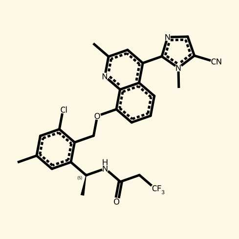 Cc1cc(Cl)c(COc2cccc3c(-c4ncc(C#N)n4C)cc(C)nc23)c([C@H](C)NC(=O)CC(F)(F)F)c1